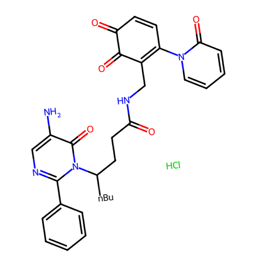 CCCCC(CCC(=O)NCC1=C(n2ccccc2=O)C=CC(=O)C1=O)n1c(-c2ccccc2)ncc(N)c1=O.Cl